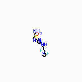 NC(=O)Cc1cnc(-c2ccc(NCC[C@H](F)Cc3ncccc3F)nn2)s1